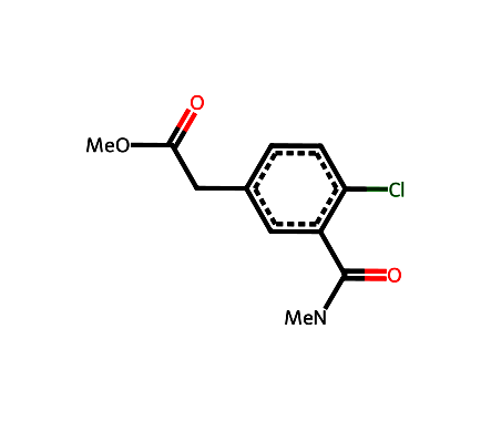 CNC(=O)c1cc(CC(=O)OC)ccc1Cl